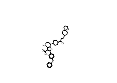 NC(=O)c1c(-c2ccc(Oc3ccccc3)cc2)nn2c1NCC[C@H]2C1CCN(C(=O)CCC2CCC3(CC2)OCCO3)CC1